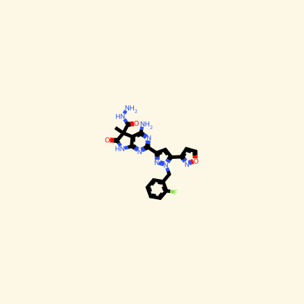 CC1(C(=O)NN)C(=O)Nc2nc(-c3cc(-c4ccon4)n(Cc4ccccc4F)n3)nc(N)c21